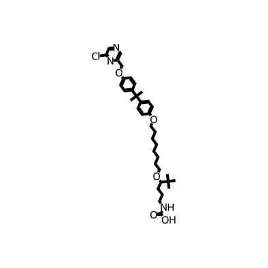 CC(C)(c1ccc(OCCCCCCCCOC(CCCNC(=O)O)C(C)(C)C)cc1)c1ccc(OCc2cncc(Cl)n2)cc1